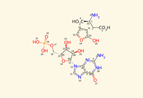 N[C@@H](CC(=O)O)C(=O)O.Nc1nc2c(ncn2[C@@H]2O[C@H](COP(=O)(O)O)[C@@H](O)[C@H]2O)c(=O)[nH]1.Oc1ccco1